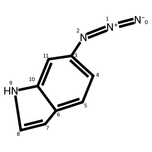 [N-]=[N+]=Nc1ccc2cc[nH]c2c1